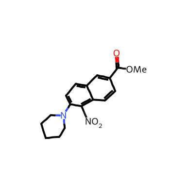 COC(=O)c1ccc2c([N+](=O)[O-])c(N3CCCCC3)ccc2c1